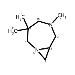 CN1CC2CN2CC(C)(C)C1